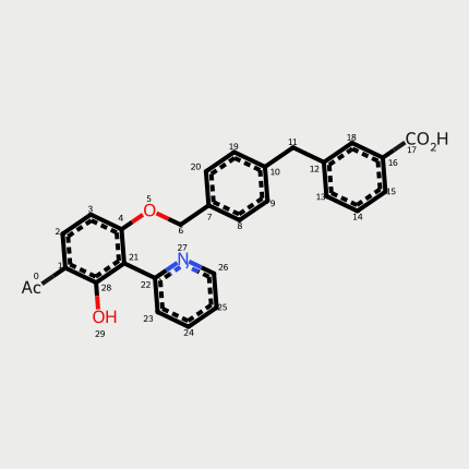 CC(=O)c1ccc(OCc2ccc(Cc3cccc(C(=O)O)c3)cc2)c(-c2ccccn2)c1O